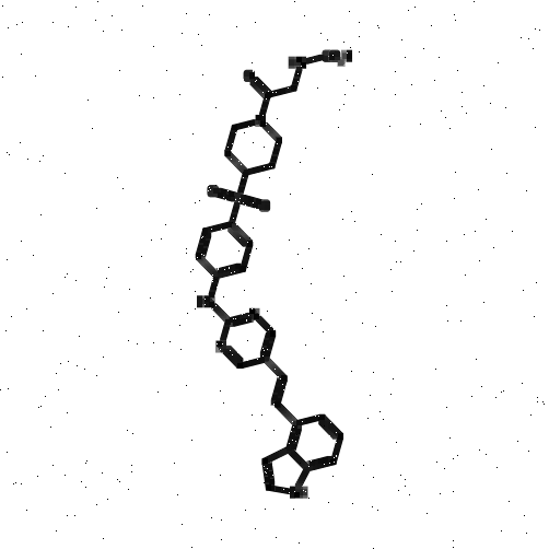 O=C(O)NCC(=O)N1CCC(S(=O)(=O)c2ccc(Nc3ncc(/C=C/c4cccc5[nH]ccc45)cn3)cc2)CC1